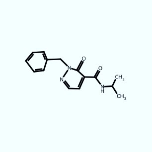 CC(C)NC(=O)c1ccnn(Cc2ccccc2)c1=O